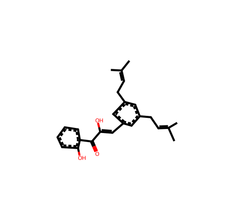 CC(C)=CCc1cc(C=C(O)C(=O)c2ccccc2O)cc(CC=C(C)C)c1